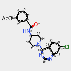 CC(=O)Oc1cccc(C(=O)NC2CCN(c3ncnc4cc(Cl)ccc34)CC2)c1